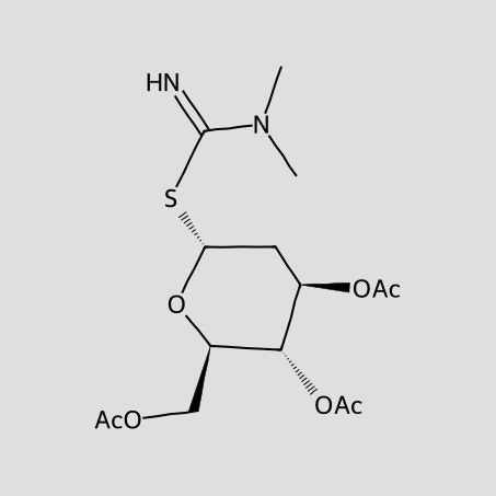 CC(=O)OC[C@H]1O[C@H](SC(=N)N(C)C)C[C@@H](OC(C)=O)[C@@H]1OC(C)=O